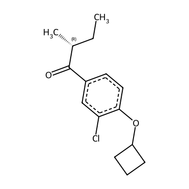 CC[C@@H](C)C(=O)c1ccc(OC2CCC2)c(Cl)c1